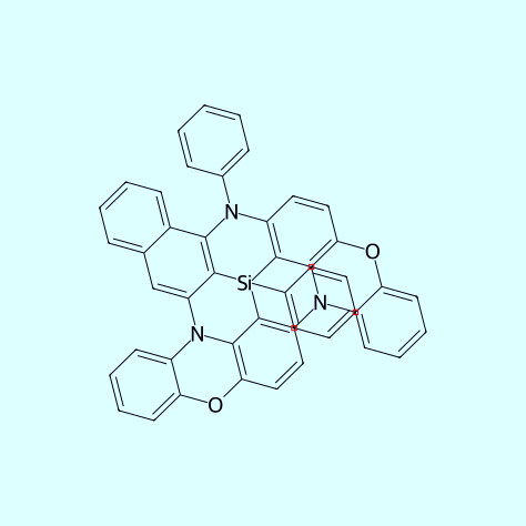 c1ccc(N2c3ccc4c5c3[Si]3(c6ccccc6)c6c(ccc7c6N(c6ccccc6O7)c6cc7ccccc7c2c63)N5c2ccccc2O4)cc1